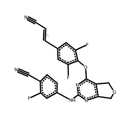 N#C/C=C/c1cc(F)c(Oc2nc(Nc3ccc(C#N)c(F)c3)nc3c2COC3)c(F)c1